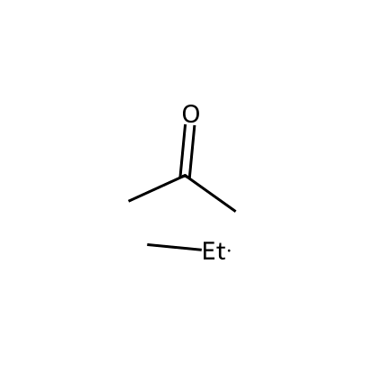 CC(C)=O.C[CH]C